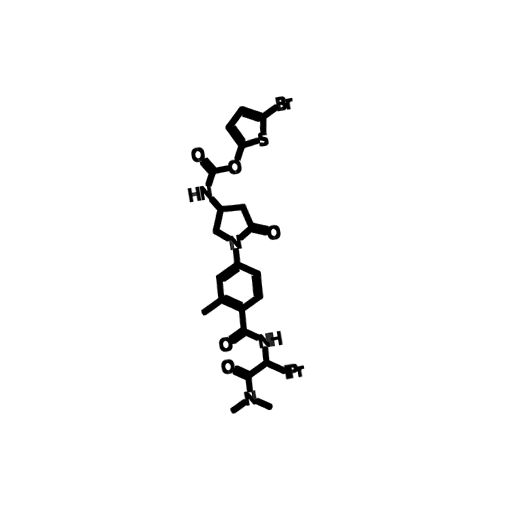 Cc1cc(N2CC(NC(=O)Oc3ccc(Br)s3)CC2=O)ccc1C(=O)NC(C(=O)N(C)C)C(C)C